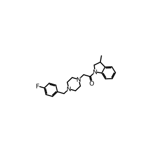 CC1CN(C(=O)CN2CCN(Cc3ccc(F)cc3)CC2)c2ccccc21